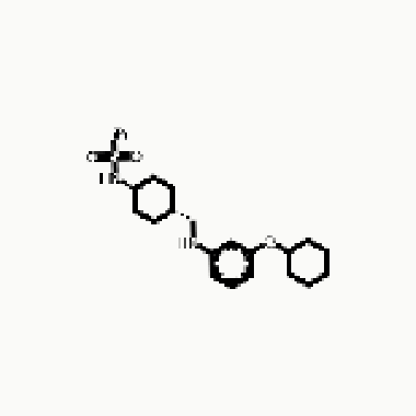 CC(C)S(=O)(=O)N[C@H]1CC[C@H](CNc2cccc(OC3CCCCC3)c2)CC1